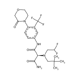 CC(C)(C)CN(CC(F)F)[C@@H](C(N)=O)C(=O)Nc1ccc(N2CCOCC2=O)c(C(F)(F)F)c1